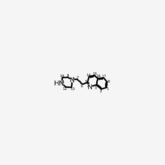 c1ccc2nc(CCN3CCNCC3)ccc2c1